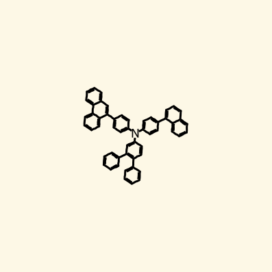 c1ccc(-c2ccc(N(c3ccc(-c4cccc5ccccc45)cc3)c3ccc(-c4cc5ccccc5c5ccccc45)cc3)cc2-c2ccccc2)cc1